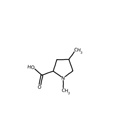 CC1CC(C(=O)O)N(C)C1